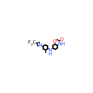 Cc1cc(N2CC(C(F)(F)F)C2)ccc1Nc1ccc2c(c1)OCC(=O)N2